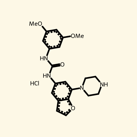 COc1cc(NC(=O)Nc2cc(N3CCNCC3)c3occc3c2)cc(OC)c1.Cl